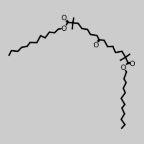 CCCCCCCCCCCCOC(=O)C(C)(C)CCCCCC(=O)CCCCCC(C)(C)C(=O)OCCCCCCCCCCCC